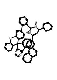 CN1C(c2ccccc2)C=C(c2ccc3c(ccc4ccccc43)c2)NC1c1ccccc1-c1ccc2c(c1)Oc1ccccc1C21c2ccccc2-c2ccccc21